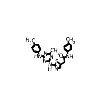 Cc1ccc(NC(=O)Cc2cnc(Nc3nc(C)nc(Nc4ccc(C)cc4)n3)s2)cc1